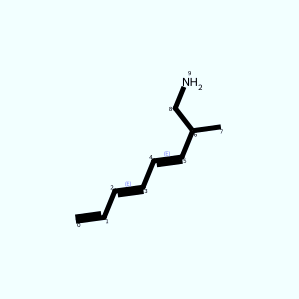 C=C/C=C/C=C/C(C)CN